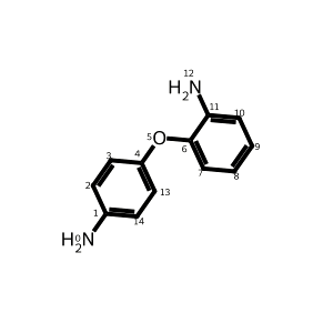 Nc1ccc(Oc2ccccc2N)cc1